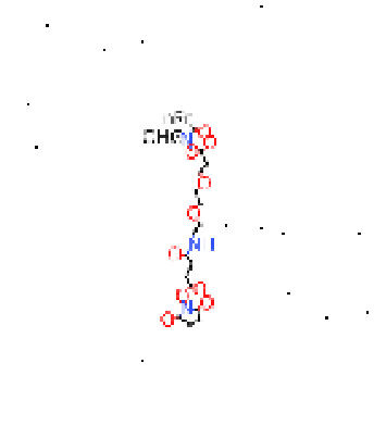 CCCC(=O)N(C=O)OC(=O)CCOCCOCCNC(=O)CCC(=O)ON1C(=O)CCC1=O